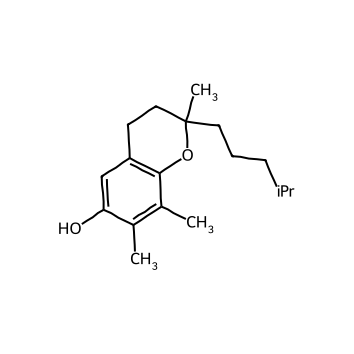 Cc1c(O)cc2c(c1C)OC(C)(CCCC(C)C)CC2